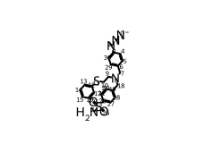 [N-]=[N+]=Nc1ccc(CN(CCSc2ccccc2)Cc2ccc(S(N)(=O)=O)cc2)cc1